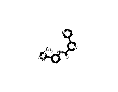 Cn1cnnc1-c1cccc(NC(=O)c2cncc(-c3cccnc3)c2)c1